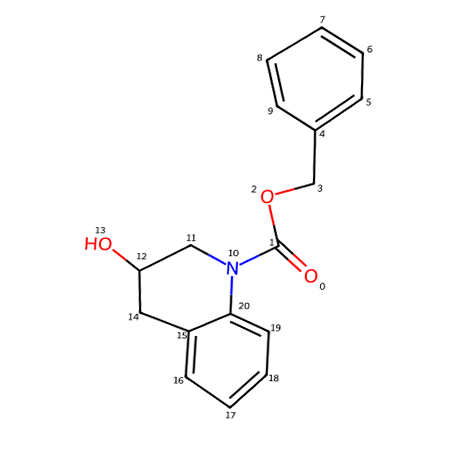 O=C(OCc1ccccc1)N1CC(O)Cc2ccccc21